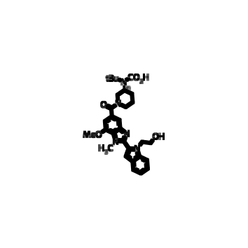 COc1cc(C(=O)N2CCC[C@@H](N(C(=O)O)C(C)(C)C)C2)cc2nc(-c3cc4ccccc4n3CCO)n(C)c12